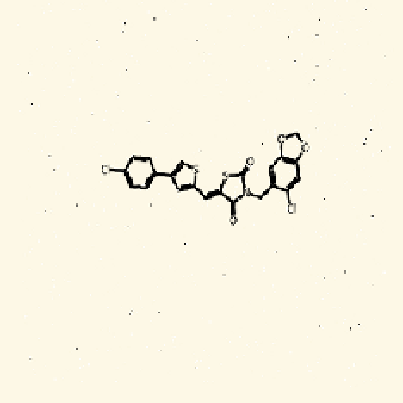 O=C1S/C(=C\c2cc(-c3ccc(Cl)cc3)cs2)C(=O)N1Cc1cc2c(cc1Cl)OCO2